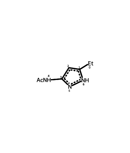 CCc1cc(NC(C)=O)n[nH]1